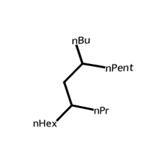 CCCCCCC(CCC)CC(CCCC)CCCCC